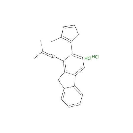 C[C](C)=[Zr][c]1c(C2=C(C)C=CC2)ccc2c1Cc1ccccc1-2.Cl.Cl